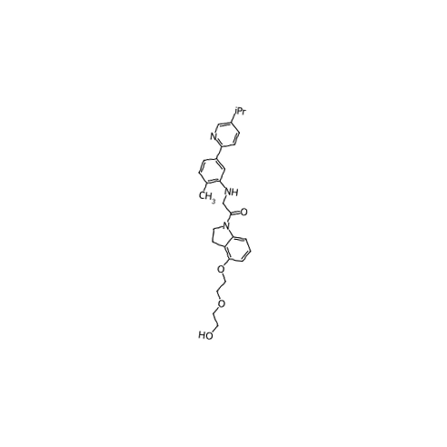 Cc1ccc(-c2ccc(C(C)C)cn2)cc1NCC(=O)N1CCc2c(OCCOCCO)cccc21